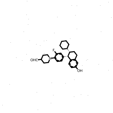 O=CC1CCN(c2ccc([C@H]3c4ccc(O)cc4CC[C@H]3C3CCCCC3)cc2F)CC1